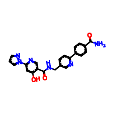 NC(=O)c1ccc(-c2ccc(CNC(=O)c3cnc(-n4cccn4)cc3O)cn2)cc1